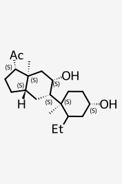 CCC1C[C@@H](O)CC[C@]1(C)[C@@H]1C[C@@H]2CC[C@H](C(C)=O)[C@@]2(C)C[C@@H]1O